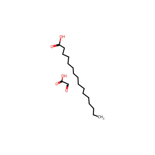 CCCCCCCCCCCCCCCC(=O)O.O=CC(=O)O